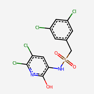 O=S(=O)(Cc1cc(Cl)cc(Cl)c1)Nc1cc(Cl)c(Cl)nc1O